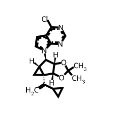 C=C(C1CC1)[C@]12C[C@@H]1[C@@H](n1ccc3c(Cl)ncnc31)[C@@H]1OC(C)(C)O[C@@H]12